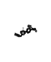 C[C@H]1O[C@H](CO)CN1c1ccc([N+](=O)[O-])c(C(F)(F)F)c1